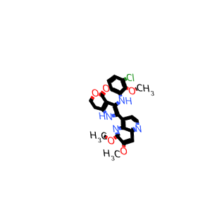 COc1cc2nccc(-c3[nH]c4c(c3Nc3cccc(Cl)c3OC)C(=O)OCC4)c2nc1OC